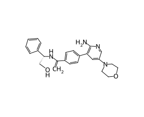 C=C(N[C@H](CO)c1ccccc1)c1ccc(-c2cc(N3CCOCC3)cnc2N)cc1